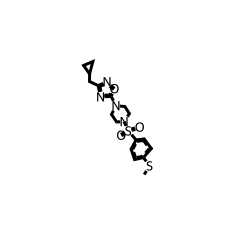 CSc1ccc(S(=O)(=O)N2CCN(c3nc(CC4CC4)no3)CC2)cc1